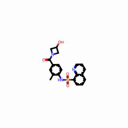 Cc1cc(C(=O)N2CC(O)C2)ccc1NS(=O)(=O)c1cccc2cccnc12